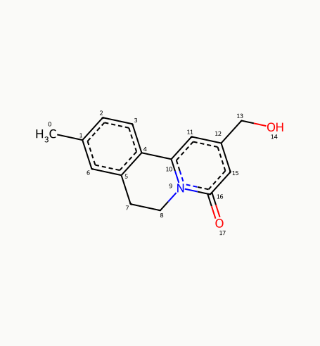 Cc1ccc2c(c1)CCn1c-2cc(CO)cc1=O